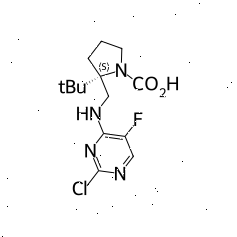 CC(C)(C)[C@]1(CNc2nc(Cl)ncc2F)CCCN1C(=O)O